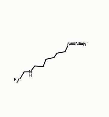 [N-]=[N+]=NCCCCCCNCC(F)(F)F